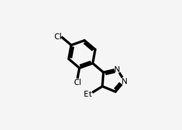 CCC1C=NN=C1c1ccc(Cl)cc1Cl